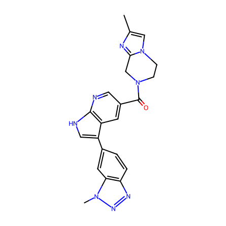 Cc1cn2c(n1)CN(C(=O)c1cnc3[nH]cc(-c4ccc5nnn(C)c5c4)c3c1)CC2